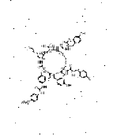 COc1ccc(NC(=O)Nc2ccc(C[C@H]3NC(=O)[C@H](Cc4ccc(O)cc4)NC(=O)[C@H](NC(=O)[C@@H](N)Cc4ccc(Cl)cc4)CSSC[C@@H](C(=O)N[C@H](Cc4ccc(O)cc4)C(N)=O)NC(=O)[C@H]([C@@H](C)O)NC(=O)[C@H](CCCCN)NC3=O)cc2)cc1